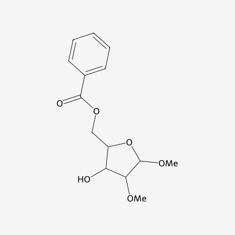 COC1OC(COC(=O)c2ccccc2)C(O)C1OC